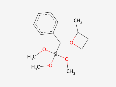 CC1CCO1.CO[Si](Cc1ccccc1)(OC)OC